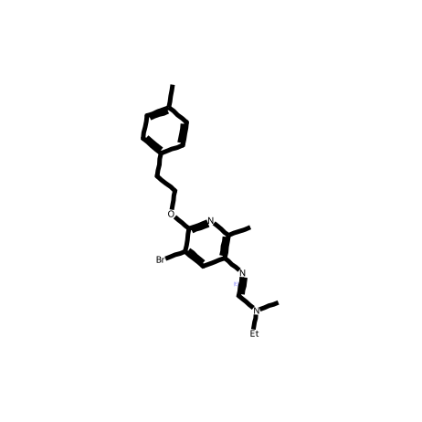 CCN(C)/C=N/c1cc(Br)c(OCCc2ccc(C)cc2)nc1C